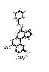 CCOC(=O)c1cn2c(cc1=O)-c1c(cc(OCc3ccccc3)c3occc13)CC2C(C)C